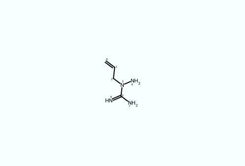 C=CCN(N)C(=N)N